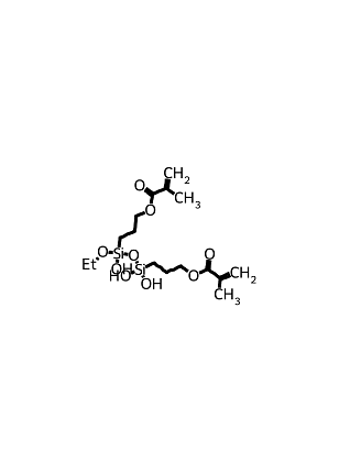 C=C(C)C(=O)OCCC[Si](O)(O)O[Si](O)(CCCOC(=O)C(=C)C)OCC